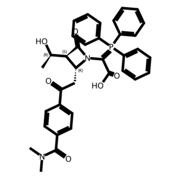 C[C@@H](O)[C@H]1C(=O)N(C(C(=O)O)=P(c2ccccc2)(c2ccccc2)c2ccccc2)[C@@H]1CC(=O)c1ccc(C(=O)N(C)C)cc1